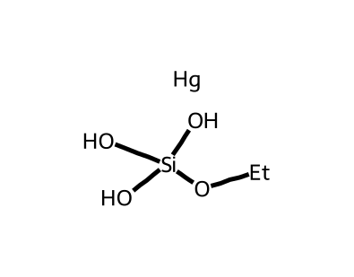 CCO[Si](O)(O)O.[Hg]